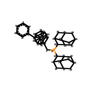 c1ccc([C]23[CH]4[CH]5[C]6(CP(C7C8CC9CC(C8)CC7C9)C7C8CC9CC(C8)CC7C9)[CH]2[Fe]54632789[CH]3[CH]2[CH]7[CH]8[CH]39)cc1